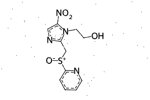 O=[N+]([O-])c1cnc(C[S+]([O-])c2ccccn2)n1CCO